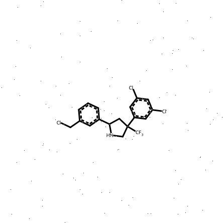 FC(F)(F)C1(c2cc(Cl)cc(Cl)c2)CNC(c2cccc(CCl)c2)C1